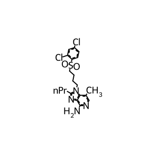 CCCc1nc2c(N)ncc(C)c2n1CCCCS(=O)(=O)c1ccc(Cl)cc1Cl